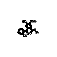 COc1cc(C(=O)OC(C)C)c(C(=O)c2ccccc2C#N)cc1O